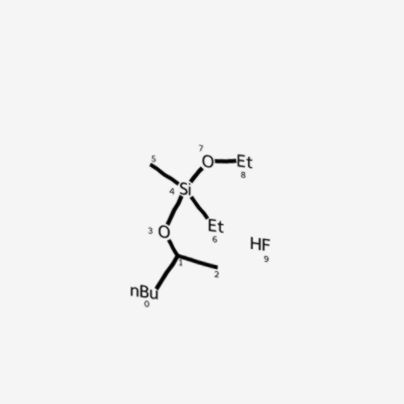 CCCCC(C)O[Si](C)(CC)OCC.F